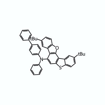 CC(C)(C)c1ccc2oc3c(c(N(c4ccccc4)c4ccc(-c5ccccc5)cc4)cc4sc5ccc(C(C)(C)C)cc5c43)c2c1